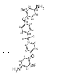 CC(C)(c1ccc(Oc2ccc(N)cc2F)cc1)c1ccc(Oc2ccc(N)cc2F)cc1